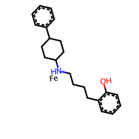 Oc1ccccc1CCCCNC1CCC(c2ccccc2)CC1.[Fe]